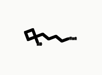 CCCCCCCCCC1([NH])CCC1